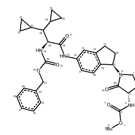 CC(C)(C)OC(=O)N[C@H]1CCN([C@@H]2CCc3cc(NC(=O)[C@@H](NC(=O)OCc4ccccc4)C(C4CC4)C4CC4)ccc32)C1=O